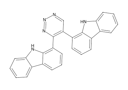 c1ccc2c(c1)[nH]c1c(-c3cnnnc3-c3cccc4c3[nH]c3ccccc34)cccc12